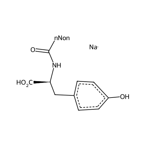 CCCCCCCCCC(=O)N[C@@H](Cc1ccc(O)cc1)C(=O)O.[Na]